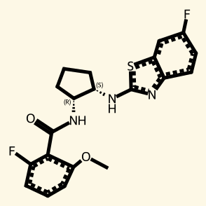 COc1cccc(F)c1C(=O)N[C@@H]1CCC[C@@H]1Nc1nc2ccc(F)cc2s1